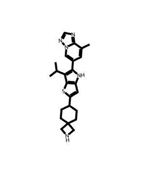 Cc1cc(-c2[nH]c3cc(C4CCC5(CC4)CNC5)sc3c2C(C)C)cn2ncnc12